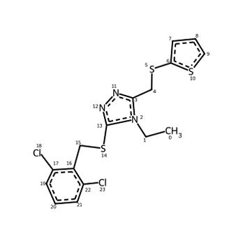 CCn1c(CSc2cccs2)nnc1SCc1c(Cl)cccc1Cl